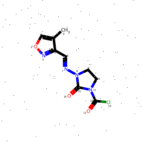 Cc1conc1C=NN1CCN(C(=O)Cl)C1=O